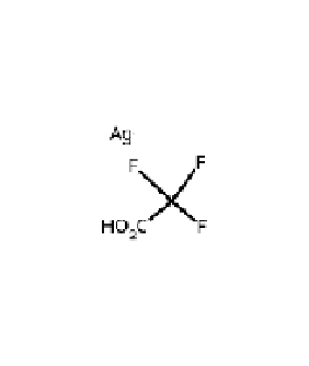 O=C(O)C(F)(F)F.[Ag]